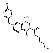 COCCCCC(=O)c1cc(C(=O)O)c2cc(Cc3ccc(F)cc3)cnc2c1O